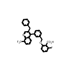 O=C(O)c1c(F)cccc1OCc1cccc(-c2c(Cc3ccccc3)cnc3c(C(F)(F)F)cccc23)c1